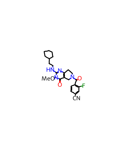 COn1c(NCCC2CCCCC2)nc2c(c1=O)CN(C(=O)c1ccc(C#N)cc1F)CC2